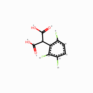 O=C(O)C(C(=O)O)c1c(F)ccc(F)c1F